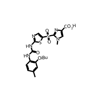 Cc1ccc(NC(=O)Nc2ncc(S(=O)(=O)c3nc(C(=O)O)cn3C)s2)c(OCC(C)C)c1